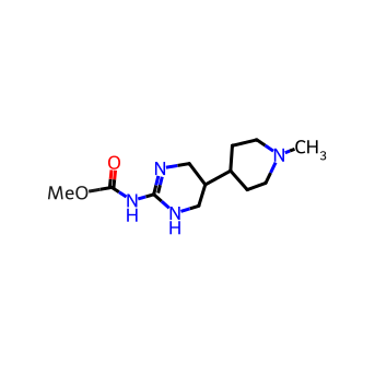 COC(=O)NC1=NCC(C2CCN(C)CC2)CN1